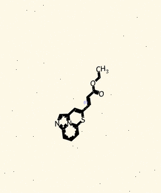 CCOC(=O)/C=C/C1=Cc2cnc3cccc(n23)S1